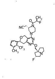 C=C(F)C(=O)N1CCN(c2nc(OC[C@@]34CCCN3C[C@H](F)C4)nc3c2CO[C@H](c2cccc(C)c2C(F)(F)F)C3)C[C@@H]1CC#N